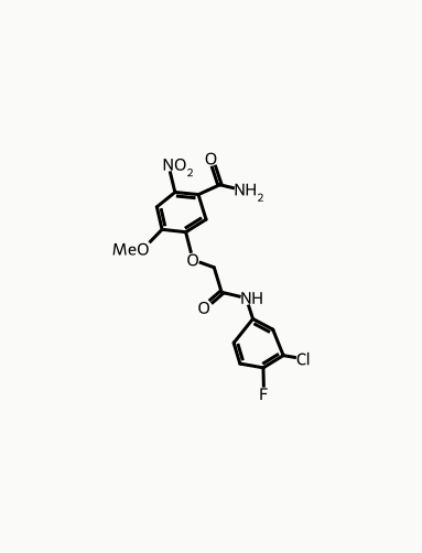 COc1cc([N+](=O)[O-])c(C(N)=O)cc1OCC(=O)Nc1ccc(F)c(Cl)c1